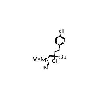 CNN(C=N)CC(O)(CCc1ccc(Cl)cc1)C(C)(C)C